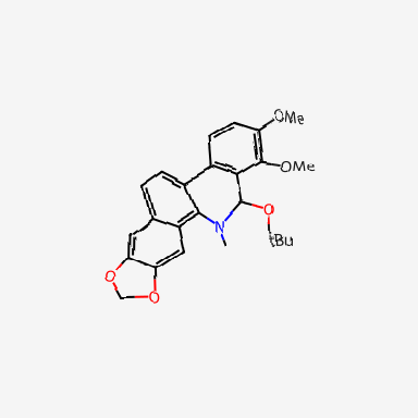 COc1ccc2c(c1OC)C(OC(C)(C)C)N(C)c1c-2ccc2cc3c(cc12)OCO3